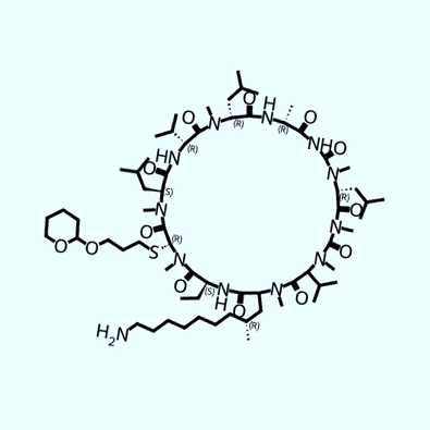 CC[C@@H]1NC(=O)C(C[C@H](C)CCCCCCCN)N(C)C(=O)C(C(C)C)N(C)C(=O)N(C)C(=O)[C@@H](CC(C)C)N(C)C(=O)NC(=O)[C@@H](C)NC(=O)[C@@H](CC(C)C)N(C)C(=O)[C@@H](C(C)C)NC(=O)[C@H](CC(C)C)N(C)C(=O)[C@@H](SCCCOC2CCCCO2)N(C)C1=O